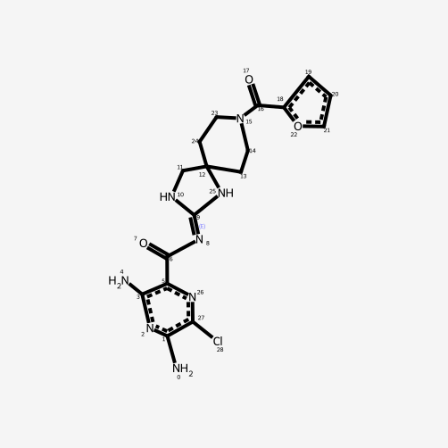 Nc1nc(N)c(C(=O)/N=C2\NCC3(CCN(C(=O)c4ccco4)CC3)N2)nc1Cl